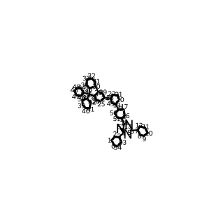 c1ccc(-c2nc(-c3ccccc3)nc(-c3ccc(-c4cccc(-c5ccc6c(c5)-c5ccccc5C6(c5ccccc5)c5ccccc5)c4)cc3)n2)cc1